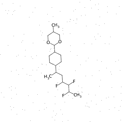 CC1COC(C2CCC(C(C)CC(F)C(F)C(C)F)CC2)OC1